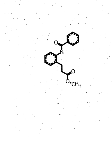 COC(=O)CCc1ccccc1[N]C(=O)c1ccccc1